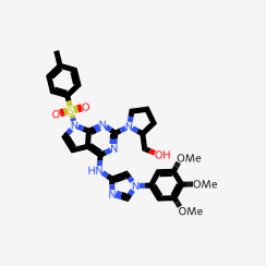 COc1cc(-n2cnc(Nc3nc(N4CCCC4CO)nc4c3ccn4S(=O)(=O)c3ccc(C)cc3)c2)cc(OC)c1OC